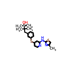 Cc1csc(Nc2cc(Sc3cccc(CC(C)(C)[Si](C)(C)O)c3)ccn2)n1